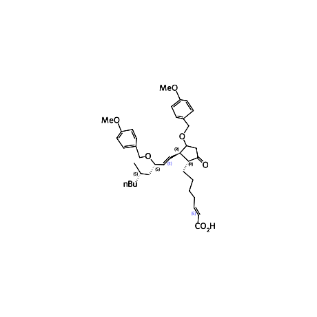 CCCC[C@H](C)C[C@@H](/C=C/[C@H]1C(OCc2ccc(OC)cc2)CC(=O)[C@@H]1CCCC/C=C/C(=O)O)OCc1ccc(OC)cc1